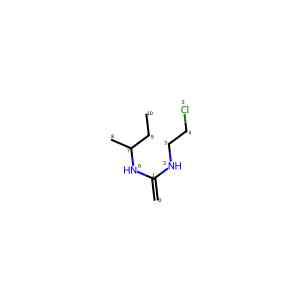 C=C(NCCCl)NC(C)CC